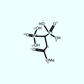 COC(=O)CC(P(=O)(O)O)P(=O)(O)O